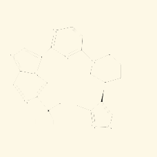 Cc1n[nH]cc1[C@@H]1C[C@@H](O)CN(c2ccnc(-c3cnc4cnc(C(F)(F)F)cn34)n2)C1